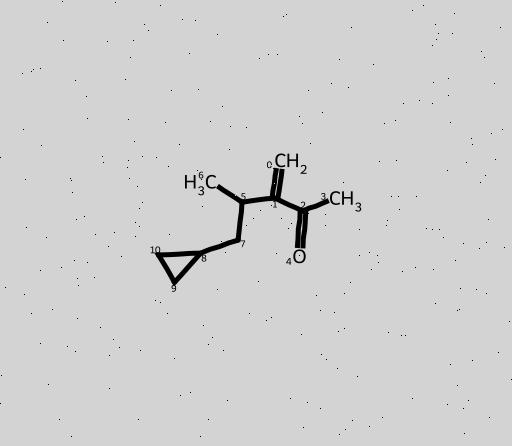 C=C(C(C)=O)C(C)CC1CC1